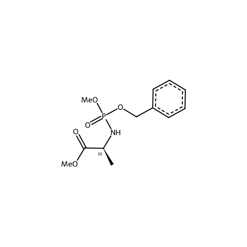 COC(=O)[C@H](C)NP(=O)(OC)OCc1ccccc1